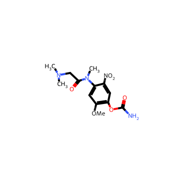 COc1cc(N(C)C(=O)CN(C)C)c([N+](=O)[O-])cc1OC(N)=O